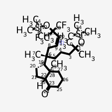 CC(C)(CCC[C@@](C)(C/C=C\C(O[Si](C)(C)C)(C(F)(F)F)C(F)(F)F)[C@H]1CC[C@H]2C(=O)CCC[C@]12C)O[Si](C)(C)C